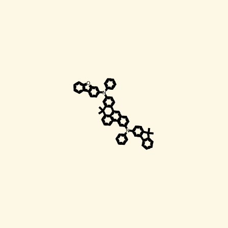 CC1(C)c2ccccc2-c2cc(N(c3ccccc3)c3ccc4cc5c6c(cccc6c4c3)C(C)(C)c3cc(N(c4ccccc4)c4ccc6c(c4)oc4ccccc46)ccc3-5)ccc21